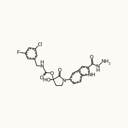 NNC(=O)c1cc2cc(N3CC[C@](O)(OC(=O)NCc4cc(F)cc(Cl)c4)C3=O)ccc2[nH]1